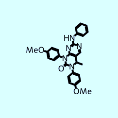 COc1ccc(N2C(=O)N(c3ccc(OC)cc3)C(C)c3cnc(Nc4ccccc4)nc32)cc1